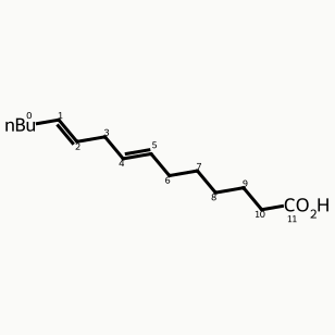 CCCCC=CCC=CCCCCCC(=O)O